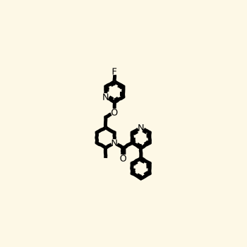 CC1CCC(COc2ccc(F)cn2)CN1C(=O)c1cnccc1-c1ccccc1